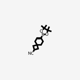 CC1(C)OB(C2=CCC3(CC2)CC(C#N)C3)OC1(C)C